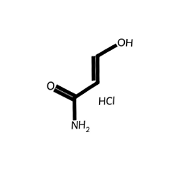 Cl.NC(=O)C=CO